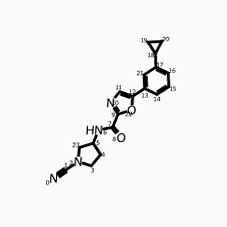 N#CN1CCC(NC(=O)c2ncc(-c3cccc(C4CC4)c3)o2)C1